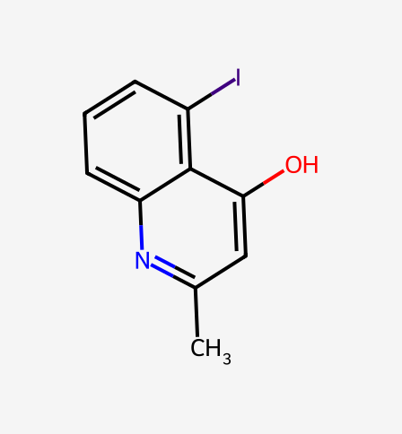 Cc1cc(O)c2c(I)cccc2n1